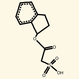 O=C(CS(=O)(=O)O)OC1CCc2ccccc21